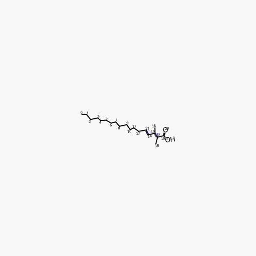 CCCCCCCCCCCCC/C=C/C(C)=C(\C)C(=O)O